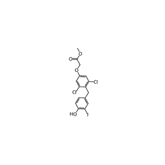 COC(=O)COc1cc(Cl)c(Cc2ccc(O)c(I)c2)c(Cl)c1